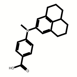 CN(c1ccc(C(=O)O)cc1)c1cc2c3c(c1)CCCC3CCC2